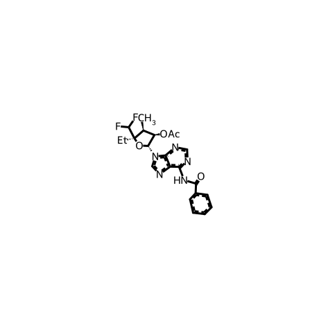 CC[C@@]1(C(F)F)O[C@@H](n2cnc3c(NC(=O)c4ccccc4)ncnc32)[C@H](OC(C)=O)[C@@H]1C